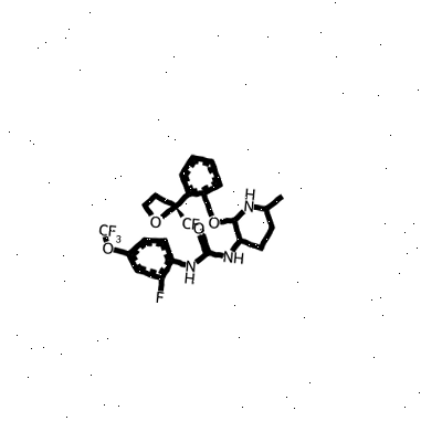 CC1CCC(NC(=O)Nc2ccc(OC(F)(F)F)cc2F)C(Oc2ccccc2[C@@]2(C(F)(F)F)CCO2)N1